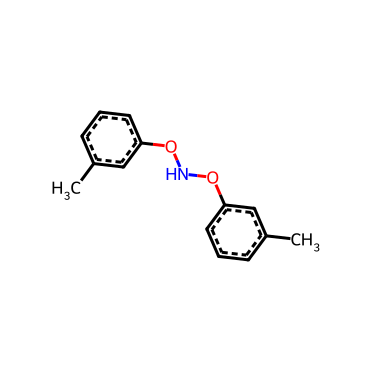 Cc1cccc(ONOc2cccc(C)c2)c1